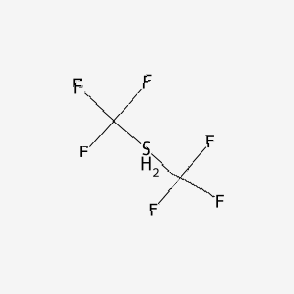 FC(F)(F)[SH2]C(F)(F)F